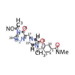 CNC(=O)c1ccc(C(C)N2C(=O)[C@@H]3C[C@H]2CN3CC(N)C(=O)N(C(C)C#N)C2CC2)cc1